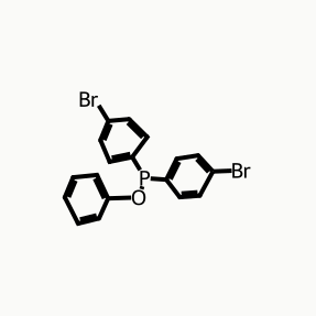 Brc1ccc(P(Oc2ccccc2)c2ccc(Br)cc2)cc1